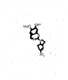 COc1cc2cnc(N3CCc4cc([N+](=O)[O-])ccc43)nc2cc1OC